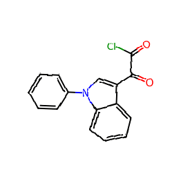 O=C(Cl)C(=O)c1cn(-c2ccccc2)c2ccccc12